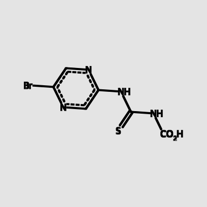 O=C(O)NC(=S)Nc1cnc(Br)cn1